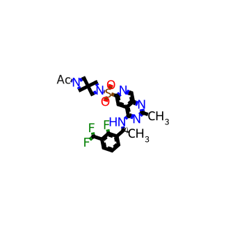 CC(=O)N1CC2(C1)CN(S(=O)(=O)c1cc3c(N[C@H](C)c4cccc(C(F)F)c4F)nc(C)nc3cn1)C2